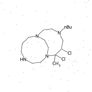 CCCCN1CCN2CCCNCCN(CC2)C(C)(Cl)C(Cl)C1